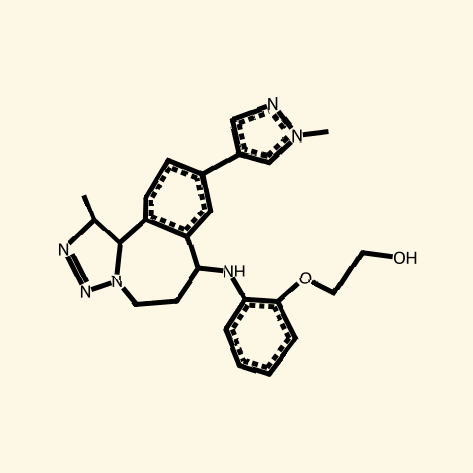 CC1N=NN2CCC(Nc3ccccc3OCCO)c3cc(-c4cnn(C)c4)ccc3C12